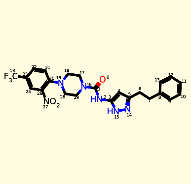 O=C(Nc1cc(CCc2ccccc2)n[nH]1)N1CCN(c2ccc(C(F)(F)F)cc2[N+](=O)[O-])CC1